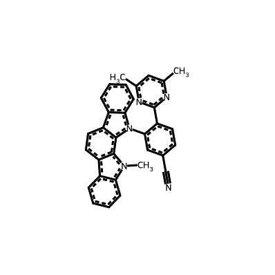 Cc1cc(C)nc(-c2ccc(C#N)cc2-n2c3ccccc3c3ccc4c5ccccc5n(C)c4c32)n1